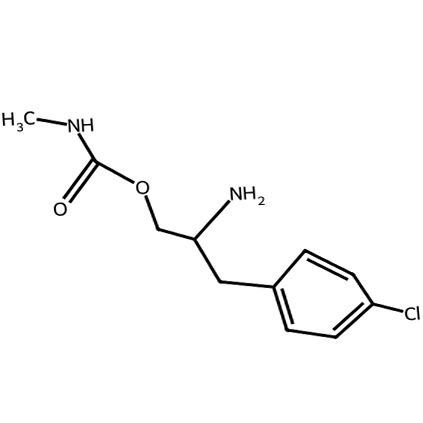 CNC(=O)OCC(N)Cc1ccc(Cl)cc1